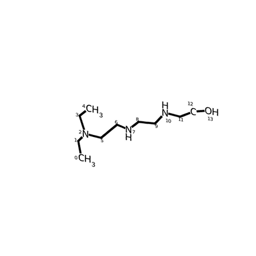 CCN(CC)CCNCCNCCO